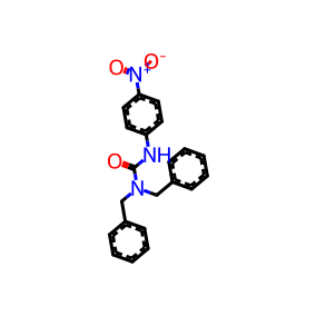 O=C(Nc1ccc([N+](=O)[O-])cc1)N(Cc1ccccc1)Cc1ccccc1